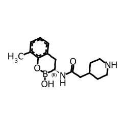 Cc1cccc2c1OB(O)[C@@H](NC(=O)CC1CCNCC1)C2